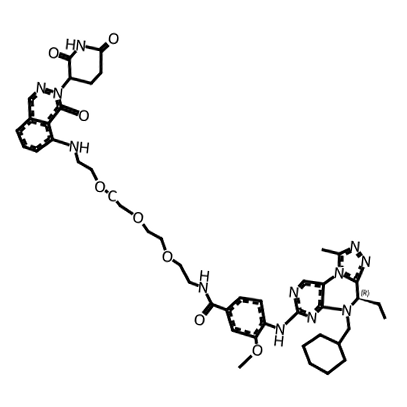 CC[C@@H]1c2nnc(C)n2-c2cnc(Nc3ccc(C(=O)NCCOCCOCCOCCNc4cccc5cnn(C6CCC(=O)NC6=O)c(=O)c45)cc3OC)nc2N1CC1CCCCC1